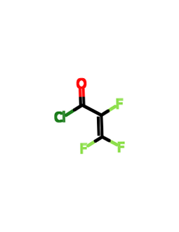 O=C(Cl)C(F)=C(F)F